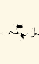 CC(C)C[C@H](N)C(=O)C(CCN)C(=O)O